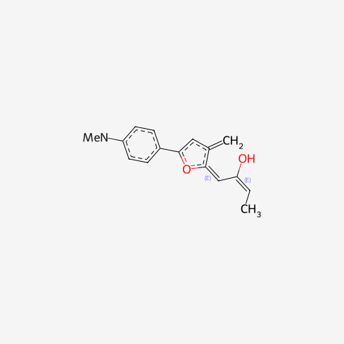 C=c1cc(-c2ccc(NC)cc2)o/c1=C/C(O)=C\C